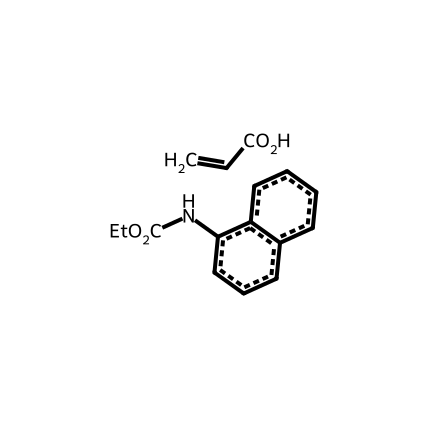 C=CC(=O)O.CCOC(=O)Nc1cccc2ccccc12